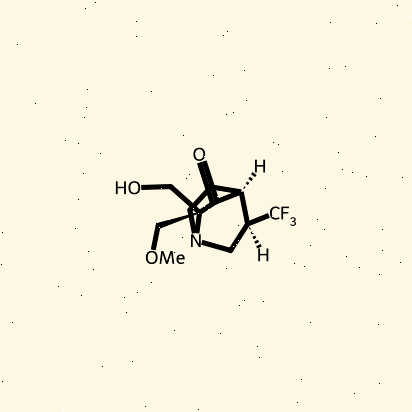 COC[C@@]1(CO)C(=O)[C@H]2CCN1C[C@@H]2C(F)(F)F